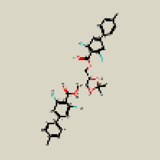 Cc1ccc(-c2cc(F)c(C(=O)OC[C@H]3OC(C)(C)O[C@@H]3COC(=O)c3c(F)cc(-c4ccc(C)cc4)cc3F)c(F)c2)cc1